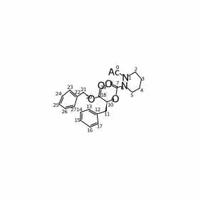 CC(=O)N1CCCCN1C(=O)O[C@@H](Cc1ccccc1)C(=O)OCc1ccccc1